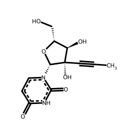 CC#C[C@]1(O)[C@H](O)[C@@H](CO)O[C@H]1n1ccc(=O)[nH]c1=O